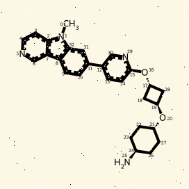 Cn1c2ccncc2c2ccc(-c3ccc(O[C@H]4C[C@H](O[C@H]5CC[C@H](N)CC5)C4)nc3)cc21